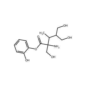 CC(C(CO)CO)C(N)(CO)C(=O)Oc1ccccc1O